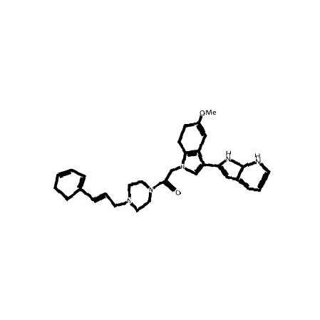 COC1=Cc2c(C3=CC4=CC=CNC4N3)cn(CC(=O)N3CCN(C/C=C/C4=CC=CCC4)CC3)c2CC1